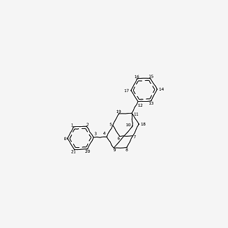 c1ccc(C2C3CC4CC2CC(c2ccccc2)(C4)C3)cc1